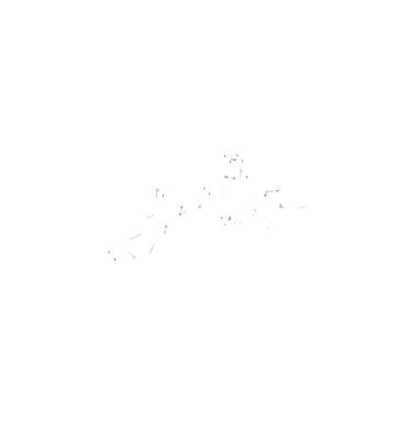 CO[C@H]1O[C@H](Cn2cc(CNS(=O)(=O)/C(C#N)=C/c3ccc4cc(N(C)C)ccc4c3)nn2)[C@@H](O)[C@H](O)[C@H]1O